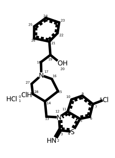 Cl.Cl.N=c1sc2cc(Cl)ccc2n1CC1CCN(CC(O)c2ccccc2)CC1